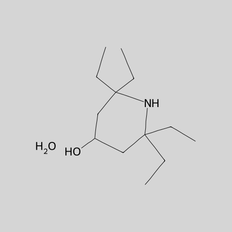 CCC1(CC)CC(O)CC(CC)(CC)N1.O